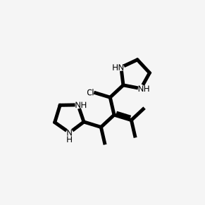 CC(C)=C(C(C)C1NCCN1)C(Cl)C1NCCN1